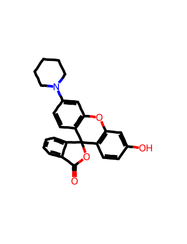 O=C1OC2(c3ccc(O)cc3Oc3cc(N4CCCCC4)ccc32)c2ccccc21